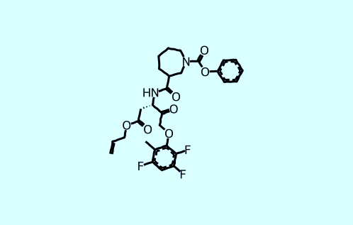 C=CCOC(=O)C[C@H](NC(=O)C1CCCCN(C(=O)Oc2ccccc2)C1)C(=O)COc1c(C)c(F)cc(F)c1F